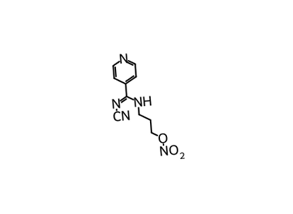 N#CN=C(NCCCO[N+](=O)[O-])c1ccncc1